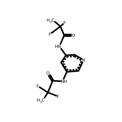 CC(F)(F)C(=O)Nc1cncc(NC(=O)C(C)(F)F)c1